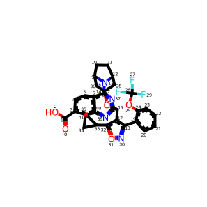 O=C(O)c1ccc2c(N3C4CCC3CC(OCc3c(-c5ccccc5OC(F)(F)F)noc3C3CC3)C4)ncnc2c1